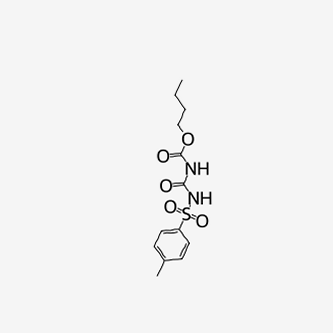 CCCCOC(=O)NC(=O)NS(=O)(=O)c1ccc(C)cc1